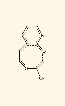 N#Cc1coc2ncccc2cco1